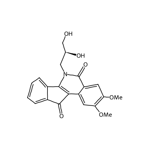 COc1cc2c3c(n(C[C@H](O)CO)c(=O)c2cc1OC)-c1ccccc1C3=O